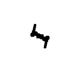 CCCCCCCCn1c2ccccc2c2cc(-c3cc4cc5sc(-c6ccc7c(c6)c6ccccc6n7CCCCCCCC)cc5cc4s3)ccc21